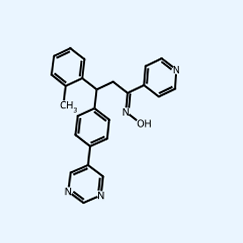 Cc1ccccc1C(CC(=NO)c1ccncc1)c1ccc(-c2cncnc2)cc1